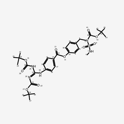 CNS(=O)(=O)N(Cc1ccc(OC(=O)c2ccc(N/C(=N\C(=O)OC(C)(C)C)NC(=O)OC(C)(C)C)cc2)cc1)C(=O)OC(C)(C)C